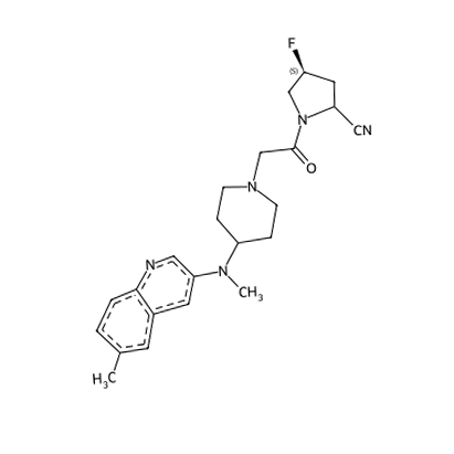 Cc1ccc2ncc(N(C)C3CCN(CC(=O)N4C[C@@H](F)CC4C#N)CC3)cc2c1